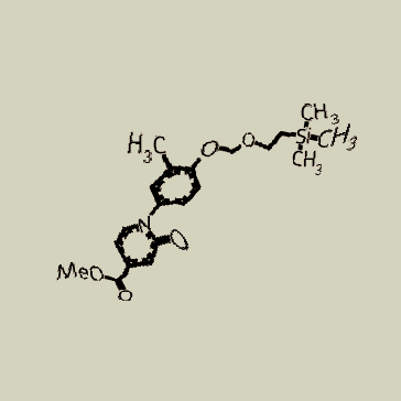 COC(=O)c1ccn(-c2ccc(OCOCC[Si](C)(C)C)c(C)c2)c(=O)c1